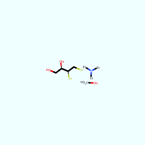 CCN(CC)CC.O=C(O)O.OC[C@@H](O)[C@H](S)CS